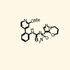 COc1cc(-c2ccccc2NC(=O)N=[S@](N)(=O)c2cnn3c2OCCC3)ccn1